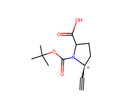 C#C[C@@H]1CCC(C(=O)O)N1C(=O)OC(C)(C)C